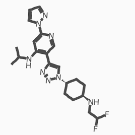 CC(C)Nc1cc(-n2cccn2)ncc1-c1cn([C@H]2CC[C@H](NCC(F)F)CC2)nn1